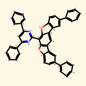 c1ccc(-c2ccc3oc4c(-c5nc(-c6ccccc6)cc(-c6ccccc6)n5)c5oc6ccc(-c7ccccc7)cc6c5cc4c3c2)cc1